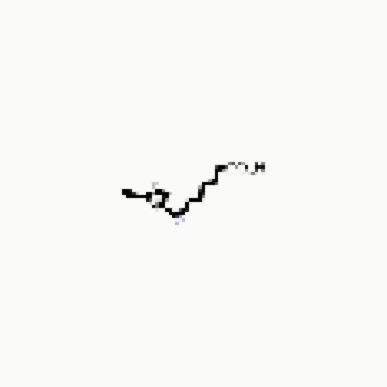 C#Cc1nc(/C=C\CCCCCC(=O)O)cs1